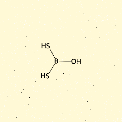 OB(S)S